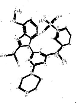 COc1cccc2c1nc(C(F)F)n2-c1nc(N2CCOCC2)nc(N(C)C2CCCN(S(C)(=O)=O)C2)n1